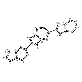 c1ccc2sc(-c3ccc4oc(-c5ccc6cn[nH]c6c5)nc4c3)cc2c1